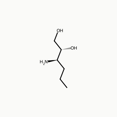 CCC[C@@H](N)[C@@H](O)CO